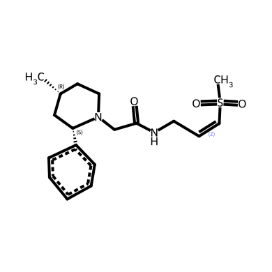 C[C@@H]1CCN(CC(=O)NC/C=C\S(C)(=O)=O)[C@H](c2ccccc2)C1